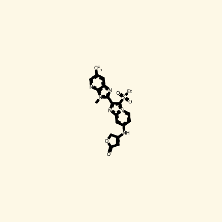 CCS(=O)(=O)c1c(-c2nc3cc(C(F)(F)F)cnc3n2C)nc2cc(NC3=CC(=O)OC3)ccn12